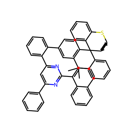 CC1(C)c2ccccc2C2(c3ccccc3Sc3ccccc32)c2ccc(-c3ccccc3-c3cc(-c4ccccc4)nc(-c4cccc5ccccc45)n3)cc21